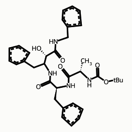 C[C@H](NC(=O)OC(C)(C)C)C(=O)N[C@@H](Cc1ccccc1)C(=O)NC(Cc1ccccc1)[C@H](O)C(=O)NCc1ccccc1